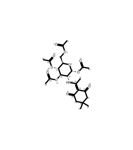 CC(=O)OC[C@H]1O[C@H](OC(C)=O)[C@H](NC(C)=C2C(=O)CC(C)(C)CC2=O)[C@@H](OC(C)=O)[C@@H]1OC(C)=O